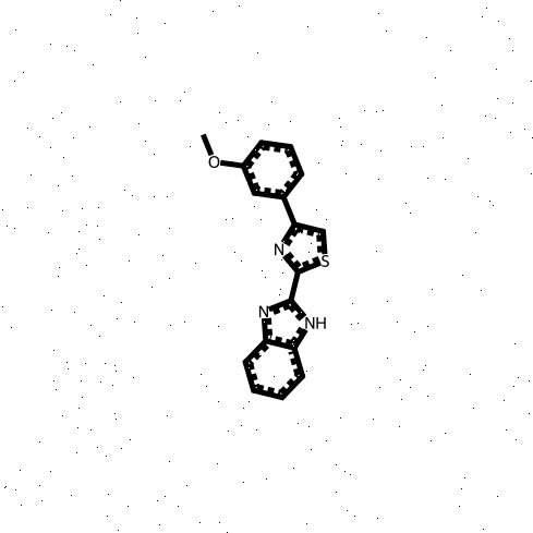 COc1cccc(-c2csc(-c3nc4ccccc4[nH]3)n2)c1